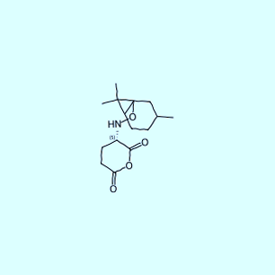 CC1CCC2C(C)(C)C2(ON[C@H]2CCC(=O)OC2=O)C1